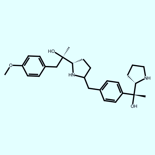 COc1ccc(C[C@@](C)(O)[C@@H]2CCC(Cc3ccc([C@@](C)(O)[C@@H]4CCCN4)cc3)N2)cc1